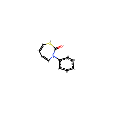 O=C1SC=CC=CN1c1ccccc1